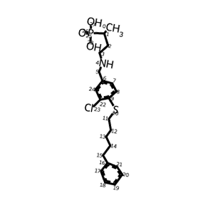 CC(CCNCc1ccc(SCCCCCc2ccccc2)c(Cl)c1)P(=O)(O)O